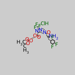 CC(C)OC(=O)OCCOC(=O)c1nc(C(F)(F)F)n2c1CN(C(=O)C[C@H](N)Cc1cc(F)c(F)cc1F)CC2.Cl